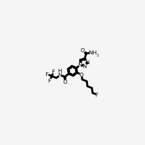 NC(=O)c1cn(-c2ccc(C(=O)NCC(F)(F)F)cc2OCCCCCF)nn1